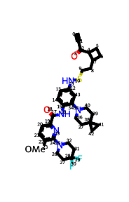 C#CC(=O)C1CCC1CCSNc1ccc(NC(=O)c2ccc(OC)c(N3CCC(F)(F)CC3)n2)c(N2CCC3(CC2)CC3)c1